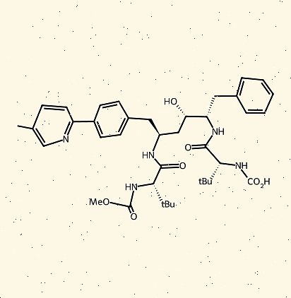 COC(=O)N[C@H](C(=O)N[C@@H](Cc1ccc(-c2ccc(C)cn2)cc1)C[C@H](O)[C@H](Cc1ccccc1)NC(=O)[C@H](NC(=O)O)C(C)(C)C)C(C)(C)C